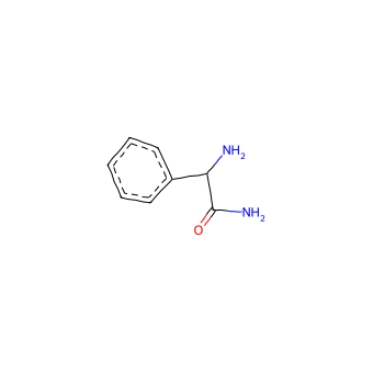 NC(=O)C(N)c1ccccc1